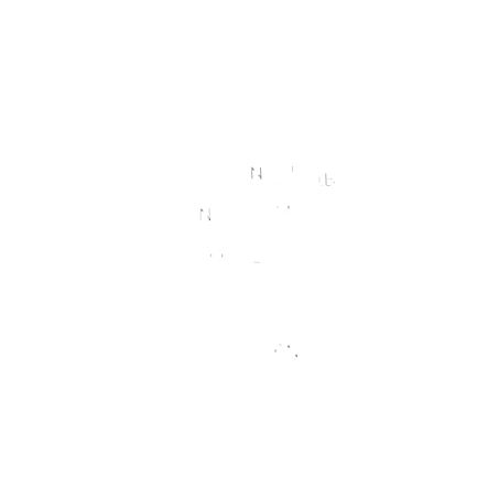 CC(C)(C)OC(=O)N1CCC(Cc2cccc(OCc3ccc(C#N)cc3F)n2)C1